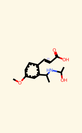 COc1ccc(/C=C/C(=O)O)c(C(C)NC(C)O)c1